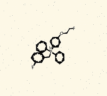 FCCOc1ccc([PH](Cc2cccc(F)c2)(c2ccccc2)c2ccccc2)cc1